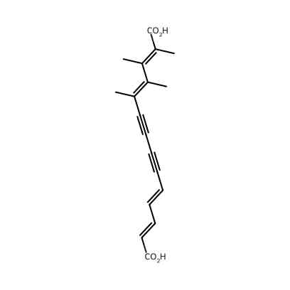 C/C(C#CC#C/C=C/C=C/C(=O)O)=C(C)\C(C)=C(/C)C(=O)O